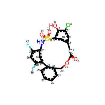 O=C1Cc2cc(Cl)c(O)c(c2)S(=O)(=O)Nc2cc(c(F)cc2F)-c2ccccc2CO1